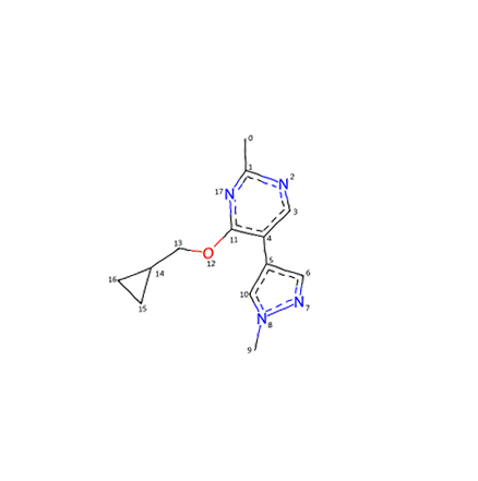 Cc1ncc(-c2cnn(C)c2)c(OCC2CC2)n1